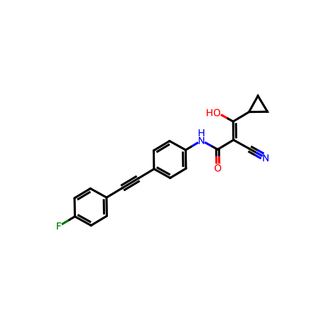 N#CC(C(=O)Nc1ccc(C#Cc2ccc(F)cc2)cc1)=C(O)C1CC1